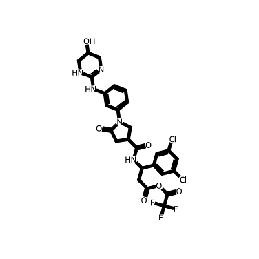 O=C(CC(NC(=O)C1CC(=O)N(c2cccc(NC3=NCC(O)CN3)c2)C1)c1cc(Cl)cc(Cl)c1)OC(=O)C(F)(F)F